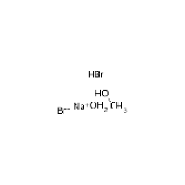 Br.CO.O.[Br-].[Na+]